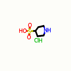 Cl.O=S(=O)(O)C1CCNCC1